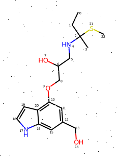 CCC(C)(NCC(O)COc1cc(CO)cc2[nH]ccc12)SC